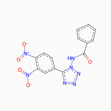 O=C(Nn1nnnc1-c1ccc([N+](=O)[O-])c([N+](=O)[O-])c1)c1ccccc1